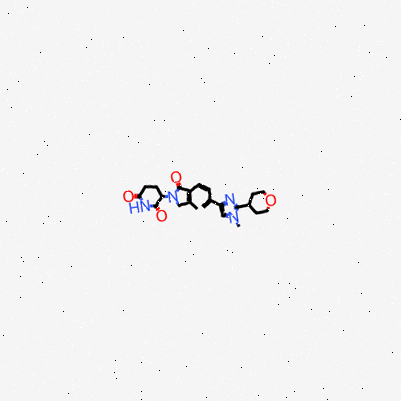 C=C(/C=C\C1=C(C)CN(C2CCC(=O)NC2=O)C1=O)c1cn(C)c(C2CCOCC2)n1